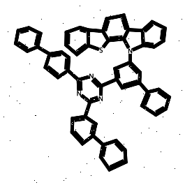 c1ccc(-c2ccc(-c3nc(-c4cccc(-c5ccccc5)c4)nc(-c4cc(-c5ccccc5)cc(-n5c6ccccc6c6ccc7c8ccccc8sc7c65)c4)n3)cc2)cc1